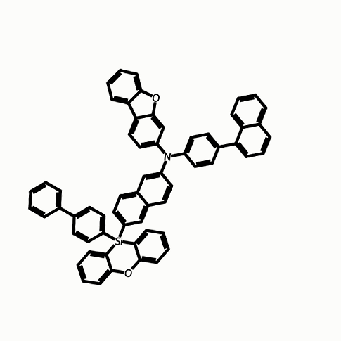 c1ccc(-c2ccc([Si]3(c4ccc5cc(N(c6ccc(-c7cccc8ccccc78)cc6)c6ccc7c(c6)oc6ccccc67)ccc5c4)c4ccccc4Oc4ccccc43)cc2)cc1